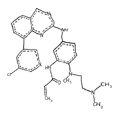 C=CC(=O)Nc1cc(Nc2ncc3cccc(-c4cncc(Cl)c4)c3n2)ccc1N(C)CCN(C)C